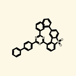 O=S1(=O)c2ccc(-c3ccccc3)cc2-c2c(-c3nc(-c4ccccc4)nc(-c4ccc(-c5ccccc5)cc4)n3)cccc21